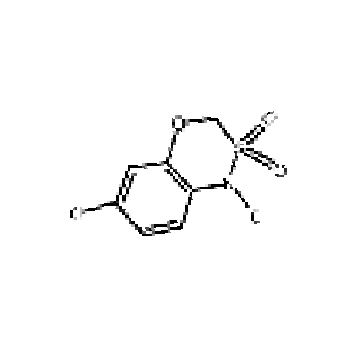 O=S1(=O)COc2cc(Cl)ccc2N1Cl